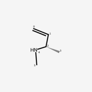 C=C[C@H](C)NC